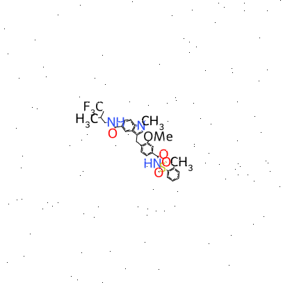 COc1cc(C(=O)NS(=O)(=O)c2ccccc2C)ccc1Cc1cn(C)c2ccc(C(=O)NCC(C)CC(F)(F)F)cc12